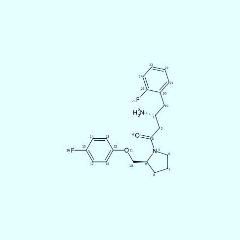 N[C@@H](CC(=O)N1CCC[C@H]1COc1ccc(F)cc1)Cc1ccccc1F